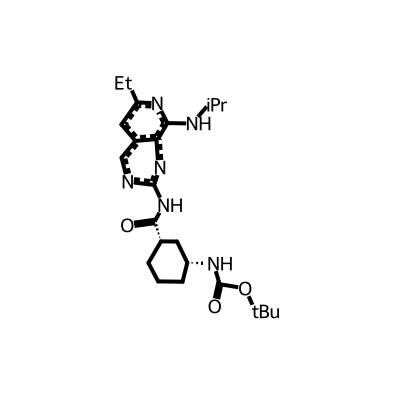 CCc1cc2cnc(NC(=O)[C@H]3CCC[C@@H](NC(=O)OC(C)(C)C)C3)nc2c(NC(C)C)n1